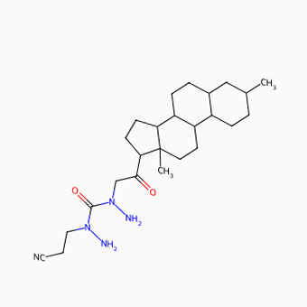 CC1CCC2C(CCC3C2CCC2(C)C(C(=O)CN(N)C(=O)N(N)CCC#N)CCC32)C1